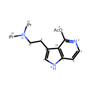 CC(=O)Oc1nccc2[nH]cc(CCN(C(C)C)C(C)C)c12